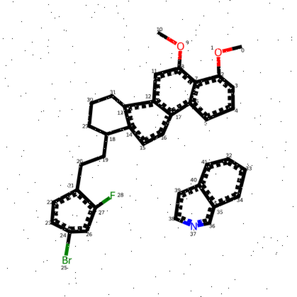 COc1cccc2c1c(OC)cc1c3c(ccc12)C(CCc1ccc(Br)cc1F)CCC3.c1ccc2cnccc2c1